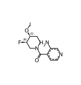 Nc1cnccc1C(=O)N1CC[C@H](OI)[C@H](F)C1